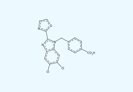 O=C(O)c1ccc(Cn2c(-c3ncco3)nc3cc(Cl)c(Cl)cc32)cc1